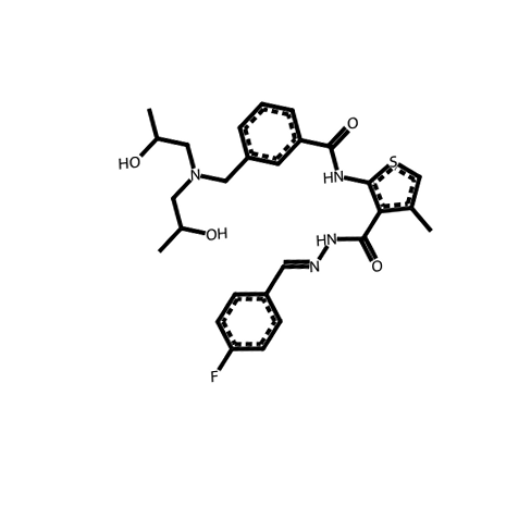 Cc1csc(NC(=O)c2cccc(CN(CC(C)O)CC(C)O)c2)c1C(=O)NN=Cc1ccc(F)cc1